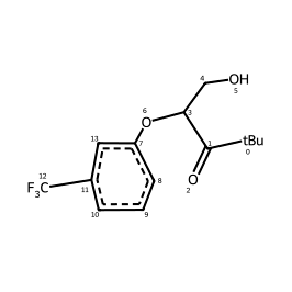 CC(C)(C)C(=O)C(CO)Oc1cccc(C(F)(F)F)c1